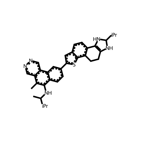 Cc1c(NC(C)C(C)C)c2ccc(-c3cc4ccc5c(c4s3)CCC3=C5NC(C(C)C)N3)cc2c2cnncc12